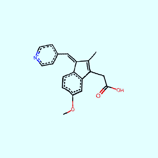 COc1ccc2c(c1)C(CC(=O)O)=C(C)/C2=C/c1ccncc1